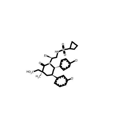 CC[C@@H](CNS(=O)(=O)C1CCC1)N1C(=O)[C@](C)(CC(=O)O)C[C@H](c2cccc(Cl)c2)[C@H]1c1ccc(Cl)cc1